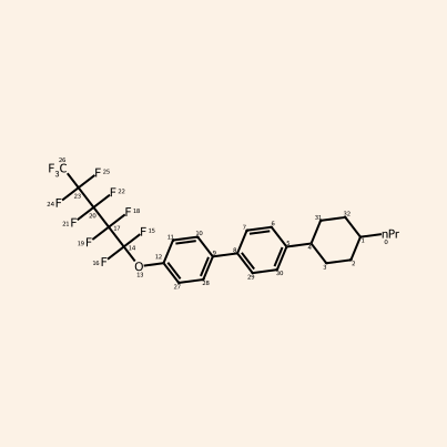 CCCC1CCC(c2ccc(-c3ccc(OC(F)(F)C(F)(F)C(F)(F)C(F)(F)C(F)(F)F)cc3)cc2)CC1